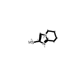 Sc1cn2c(n1)CCCC2